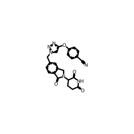 N#Cc1ccc(Oc2cn(Cc3ccc4c(c3)CN(C3CCC(=O)NC3=O)C4=O)nn2)cc1